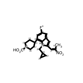 CC(=Cc1cc2cc(F)cc(C3CCN(C(=O)O)CC3)c2n1CC1CC1)[N+](=O)[O-]